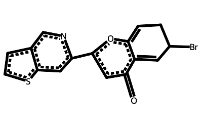 O=c1cc(-c2cc3sccc3cn2)oc2c1=CC(Br)CC=2